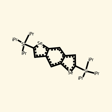 CC(C)[Si](c1cc2cc3[se]c([Si](C(C)C)(C(C)C)C(C)C)cc3cc2[se]1)(C(C)C)C(C)C